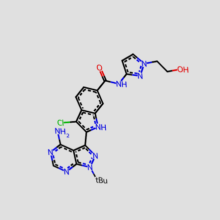 CC(C)(C)n1nc(-c2[nH]c3cc(C(=O)Nc4ccn(CCO)n4)ccc3c2Cl)c2c(N)ncnc21